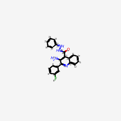 Nc1c(-c2cccc(F)c2)nc2ccccc2c1C(=O)NNc1ccccc1